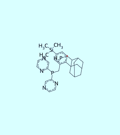 C[Si](C)(C)c1ccc(C23CC4CC(CC(C4)C2CP)C3)c(CP(c2cnccn2)c2cnccn2)c1